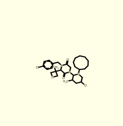 CC1CC(Cl)CN(C2CCCCCCCC2)C1N1CC(=O)N(Cc2ccc(Cl)cc2)C(C2(C)COC2)C1=O